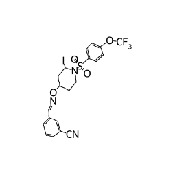 N#Cc1cccc(C=NOC2CCN(S(=O)(=O)c3ccc(OC(F)(F)F)cc3)C(I)C2)c1